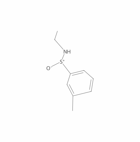 CCN[S+]([O-])c1cccc(C)c1